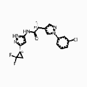 C[C@@H](C(=O)Nc1cc([C@@H]2CC2(F)F)n[nH]1)c1cnn(-c2cccc(Cl)c2)c1